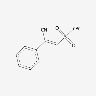 CCCS(=O)(=O)/C=C(\C#N)c1ccccc1